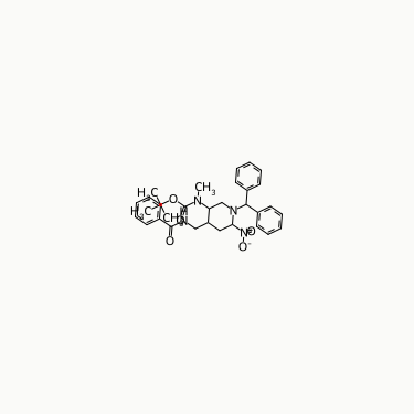 CN(C(=O)OC(C)(C)C)C1CN(C(c2ccccc2)c2ccccc2)C([N+](=O)[O-])CC1CNC(=O)c1ccccc1